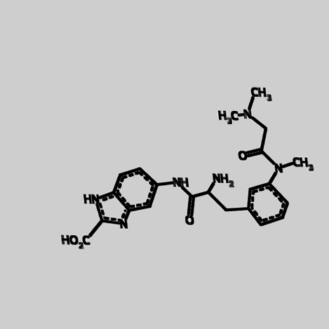 CN(C)CC(=O)N(C)c1cccc(CC(N)C(=O)Nc2ccc3[nH]c(C(=O)O)nc3c2)c1